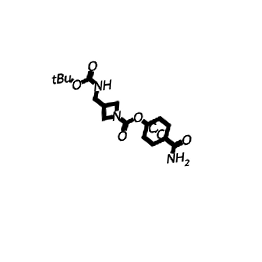 CC(C)(C)OC(=O)NCC1CN(C(=O)OC23CCC(C(N)=O)(CC2)CC3)C1